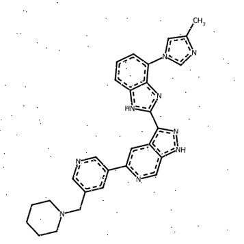 Cc1cn(-c2cccc3[nH]c(-c4n[nH]c5cnc(-c6cncc(CN7CCCCC7)c6)cc45)nc23)cn1